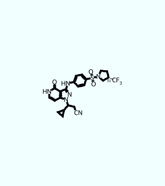 N#CCC(C1CC1)n1nc(Nc2ccc(S(=O)(=O)N3CC[C@H](C(F)(F)F)C3)cc2)c2c(=O)[nH]ccc21